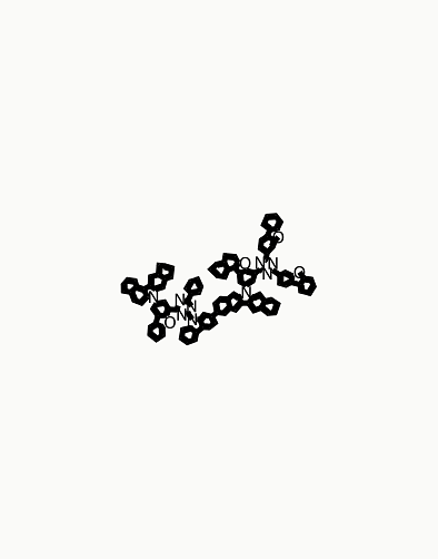 c1ccc(-c2nc(-c3cc(-n4c5cc6ccccc6cc5c5c6ccccc6ccc54)cc4c3oc3ccccc34)nc(-n3c4ccccc4c4ccc(-c5ccc6cc7c(cc6c5)c5cc6ccccc6cc5n7-c5cc(-c6nc(-c7ccc8c(c7)oc7ccccc78)nc(-c7ccc8c(c7)oc7ccccc78)n6)c6oc7ccc8ccccc8c7c6c5)cc43)n2)cc1